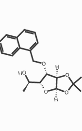 C[C@@H](O)[C@H]1O[C@@H]2OC(C)(C)O[C@@H]2[C@H]1OCc1cccc2ccccc12